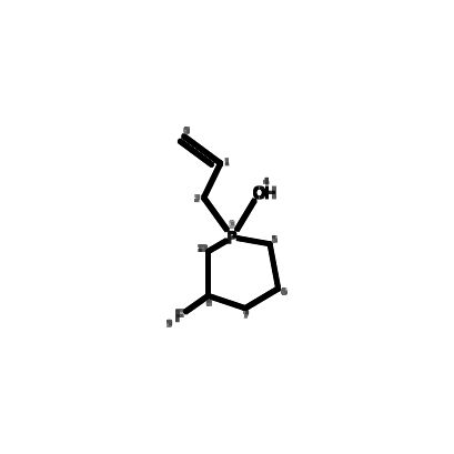 C=CC[P]1(O)CCCC(F)C1